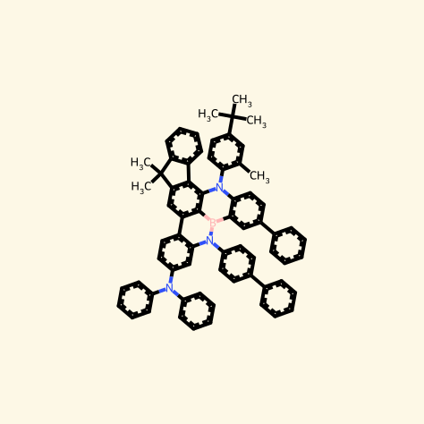 Cc1cc(C(C)(C)C)ccc1N1c2ccc(-c3ccccc3)cc2B2c3c(cc4c(c31)-c1ccccc1C4(C)C)-c1ccc(N(c3ccccc3)c3ccccc3)cc1N2c1ccc(-c2ccccc2)cc1